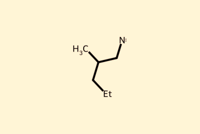 CCCC(C)C[N]